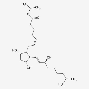 CC(C)CCCC[C@H](O)/C=C/[C@@H]1[C@@H](C/C=C\CCCC(=O)OC(C)C)[C@@H](O)C[C@H]1O